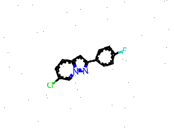 Fc1ccc(-c2cc3ccc(Cl)cn3n2)cc1